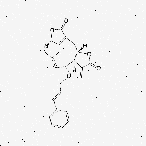 C=C1C(=O)O[C@H]2CC3=C[C@@H](C/C(C)=C/[C@@H](OC/C=C/c4ccccc4)[C@H]12)OC3=O